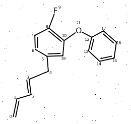 C=CC=CCc1ccc(F)c(Oc2ccccc2)c1